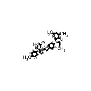 CCc1nc2c(C)cc(C)nc2n1-c1ccc(CC(C)(C)N(C(=O)O)S(=O)(=O)c2ccc(C)cc2)cc1